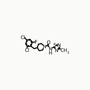 Cc1nsc(NC(=O)N2CCC(Cc3c(F)cc(Cl)cc3Cl)CC2)n1